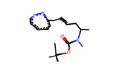 CC(C/C=C/c1cccnn1)N(C)C(=O)OC(C)(C)C